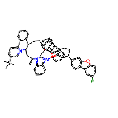 C=C1CC2C(CCc3ccc4c(oc5cc(-c6ccc7c(c6)oc6ccc(F)cc67)ccc54)c3-c3n(-c4ccccc4-c4ccccc4)c4ccccc4[n+]31)c1ccccc1-c1ccc([Si](C)(C)C)c[n+]12